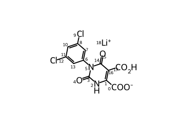 O=C([O-])c1[nH]c(=O)n(-c2cc(Cl)cc(Cl)c2)c(=O)c1C(=O)O.[Li+]